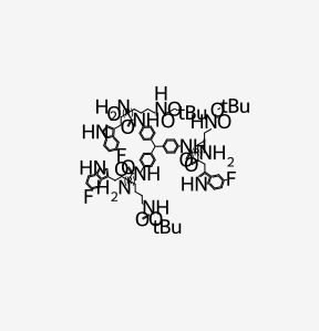 CC(C)(C)OC(=O)NCCCC[C@@](N)(C(=O)Cc1c[nH]c2ccc(F)cc12)C(=O)Nc1ccc(C(c2ccc(NC(=O)[C@@](N)(CCCCNC(=O)OC(C)(C)C)C(=O)Cc3c[nH]c4ccc(F)cc34)cc2)c2ccc(NC(=O)[C@@](N)(CCCCNC(=O)OC(C)(C)C)C(=O)Cc3c[nH]c4ccc(F)cc34)cc2)cc1